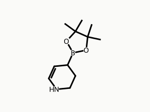 CC1(C)OB(C2C=CNCC2)OC1(C)C